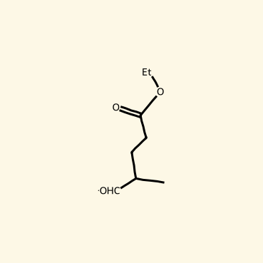 CCOC(=O)CCC(C)[C]=O